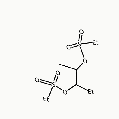 CCC(OS(=O)(=O)CC)C(C)OS(=O)(=O)CC